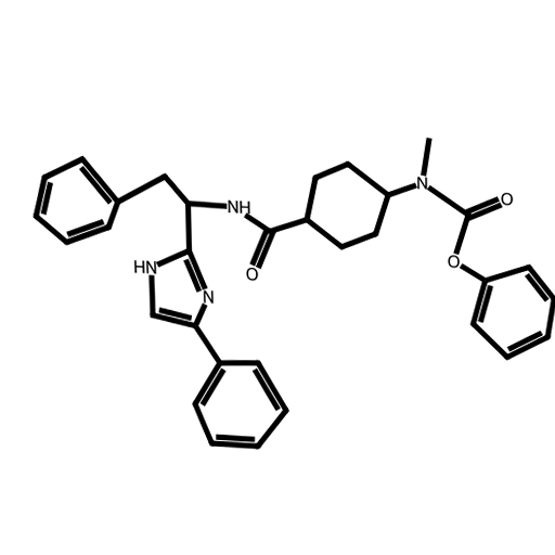 CN(C(=O)Oc1ccccc1)C1CCC(C(=O)NC(Cc2ccccc2)c2nc(-c3ccccc3)c[nH]2)CC1